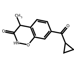 CC1C(=O)NOc2cc(C(=O)C3CC3)ccc21